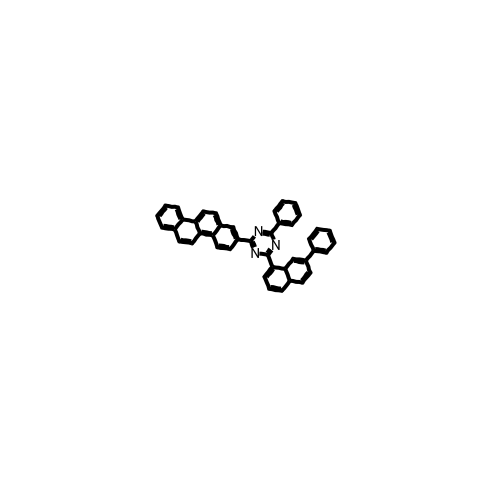 C1=CC2C=CC(c3ccccc3)=CC2C(c2nc(-c3ccccc3)nc(-c3ccc4c(ccc5c6ccccc6ccc45)c3)n2)=C1